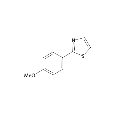 COc1c[c]c(-c2nccs2)cc1